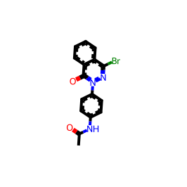 CC(=O)Nc1ccc(-n2nc(Br)c3ccccc3c2=O)cc1